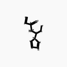 C=CC(=O)NC(CC)n1ccnc1